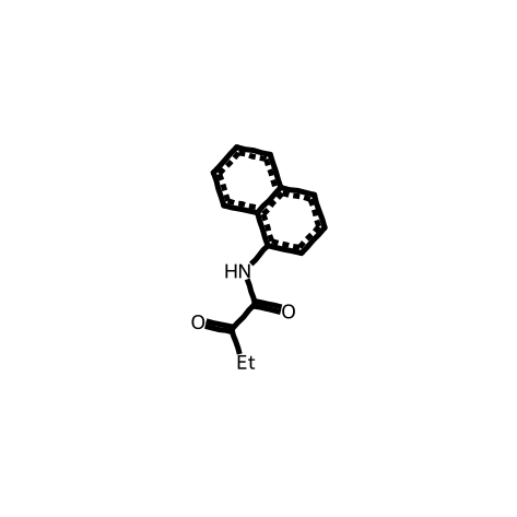 CCC(=O)C(=O)Nc1cccc2ccccc12